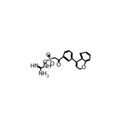 N=C(N)NOS(=O)(=O)CC(=O)c1cccc(C2=CCOc3ccccc32)c1